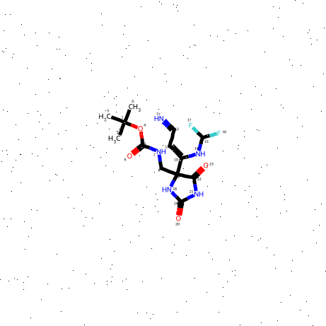 CC(C)(C)OC(=O)NCC1(/C(=C/C=N)NC(F)F)NC(=O)NC1=O